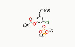 CCO[PH](=O)OCC.COCc1cc(Cl)cc(OC(=O)C(C)(C)C)c1